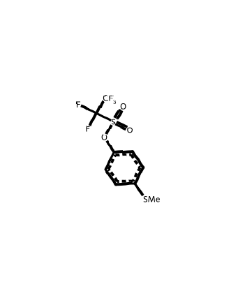 CSc1ccc(OS(=O)(=O)C(F)(F)C(F)(F)F)cc1